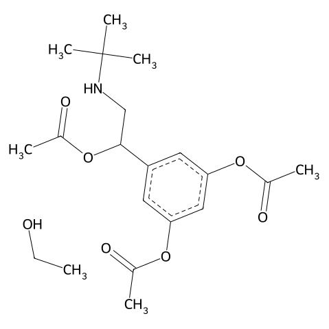 CC(=O)Oc1cc(OC(C)=O)cc(C(CNC(C)(C)C)OC(C)=O)c1.CCO